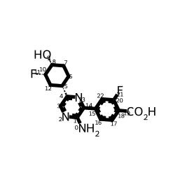 Nc1ncc([C@H]2CC[C@@H](O)[C@@H](F)C2)nc1-c1ccc(C(=O)O)c(F)c1